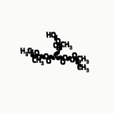 CSCC(C)C(=O)OCCOC(=O)CCN(CCSCC(C)C(=O)OCCO)CCC(=O)OCCOC(=O)C(C)CSC